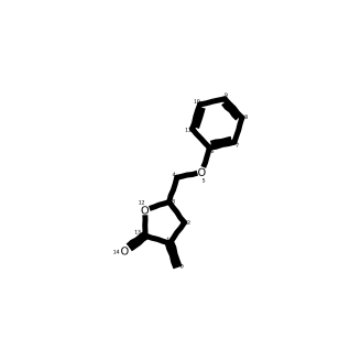 C=C1CC(COc2ccccc2)OC1=O